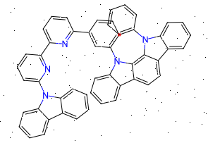 c1ccc(-n2c3ccccc3c3ccc4c5ccccc5n(-c5cccc(-c6cccc(-c7cccc(-n8c9ccccc9c9ccccc98)n7)n6)c5)c4c32)cc1